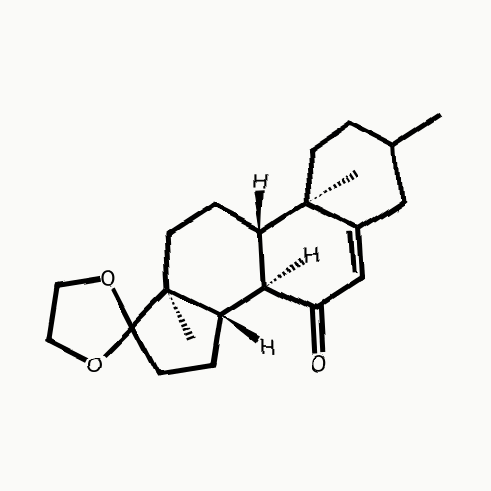 CC1CC[C@@]2(C)C(=CC(=O)[C@@H]3[C@@H]2CC[C@@]2(C)[C@H]3CCC23OCCO3)C1